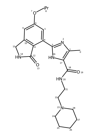 Cc1nc(-c2cc(OC(C)C)cc3c2C(=O)NC3)[nH]c1C(=O)NCCN1CCCCC1